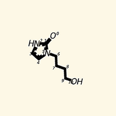 O=c1[nH]ccn1CCCCO